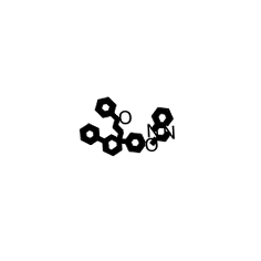 O=C(C=CC1(c2ccc(Oc3cnc4ccccc4n3)cc2)C=CC=C(c2ccccc2)C1)c1ccccc1